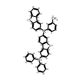 Cc1cccc(N(c2ccc3c(c2)sc2ccc(N(c4ccccc4)c4ccccc4)cc23)c2ccc3sc4ccccc4c3c2)c1